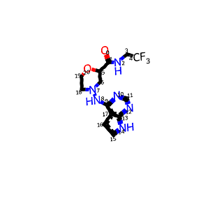 O=C(NCC(F)(F)F)C1CN(Nc2ncnc3[nH]ccc23)CCO1